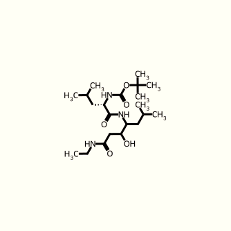 CCNC(=O)CC(O)C(CC(C)C)NC(=O)[C@H](CC(C)C)NC(=O)OC(C)(C)C